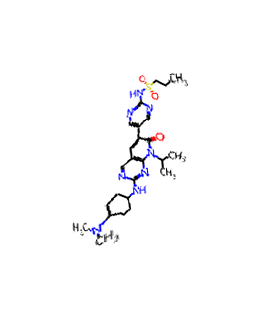 CCCS(=O)(=O)Nc1ncc(-c2cc3cnc(NC4CCC(N(C)C)CC4)nc3n(C(C)C)c2=O)cn1